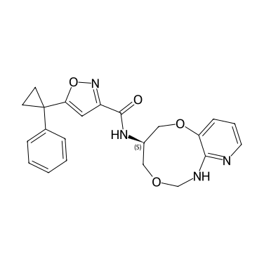 O=C(N[C@@H]1COCNc2ncccc2OC1)c1cc(C2(c3ccccc3)CC2)on1